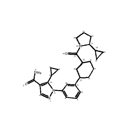 COC(=O)c1cnn(-c2cccc(C3CCCC(C(=O)N4CCCC4C4CC4)C3)c2)c1C1CC1